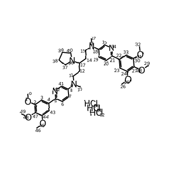 COc1cc(-c2ccc(N(C)CCC(CCN(C)c3ccc(-c4cc(OC)c(OC)c(OC)c4)nc3)N3CCCC3)cn2)cc(OC)c1OC.Cl.Cl.Cl